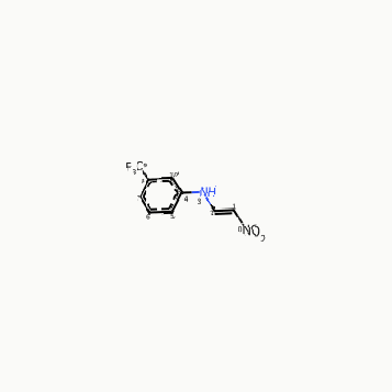 O=[N+]([O-])/C=[C]/Nc1cccc(C(F)(F)F)c1